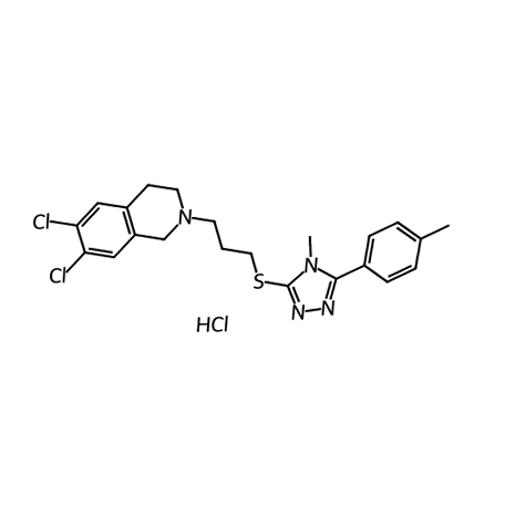 Cc1ccc(-c2nnc(SCCCN3CCc4cc(Cl)c(Cl)cc4C3)n2C)cc1.Cl